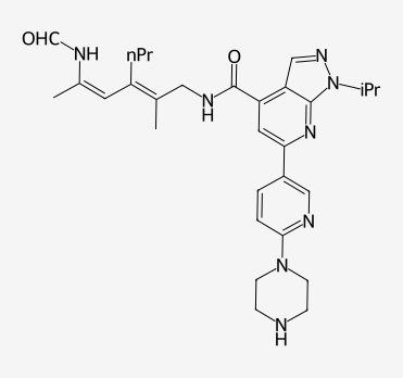 CCCC(/C=C(/C)NC=O)=C(/C)CNC(=O)c1cc(-c2ccc(N3CCNCC3)nc2)nc2c1cnn2C(C)C